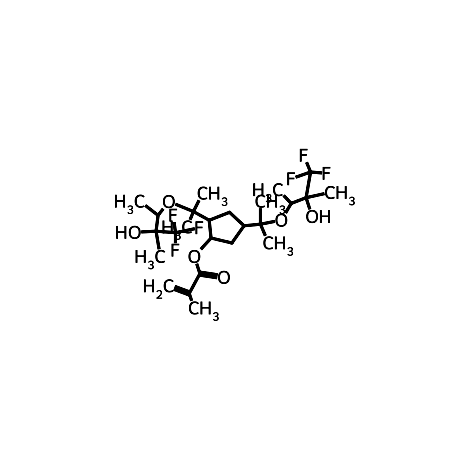 C=C(C)C(=O)OC1CC(C(C)(C)OC(C)C(C)(O)C(F)(F)F)CC1C(C)(C)OC(C)C(C)(O)C(F)(F)F